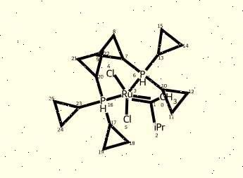 C[C](C(C)C)=[Ru]([Cl])([Cl])([PH](C1CC1)(C1CC1)C1CC1)[PH](C1CC1)(C1CC1)C1CC1